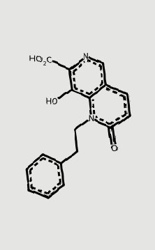 O=C(O)c1ncc2ccc(=O)n(CCc3ccccc3)c2c1O